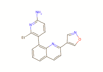 CCc1nc(N)ccc1-c1cccc2ccc(-c3cnoc3)nc12